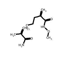 C=C(C)C(N)=O.C=C(CCC)C(=O)NOC